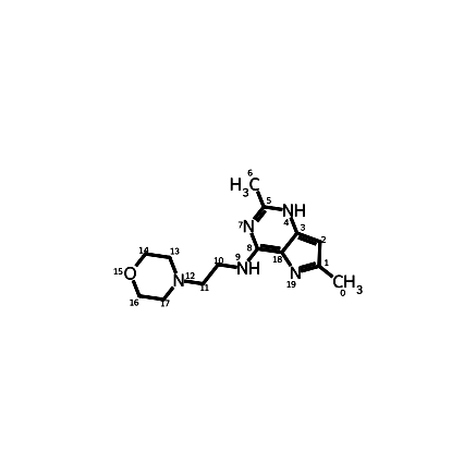 Cc1cc2[nH]c(C)nc(NCCN3CCOCC3)c-2n1